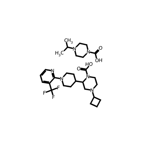 CC(C)N1CCN(C(=O)O)CC1.O=C(O)N1CCN(C2CCC2)CC1C1CCN(c2ncccc2C(F)(F)F)CC1